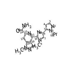 CC(C)n1nccc1-c1cn(C)c(-c2nc(C(N)=O)cc3c2cnn3C)n1